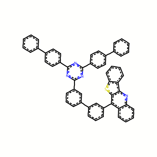 c1ccc(-c2ccc(-c3nc(-c4ccc(-c5ccccc5)cc4)nc(-c4cccc(-c5cccc(-c6c7ccccc7nc7c6sc6ccccc67)c5)c4)n3)cc2)cc1